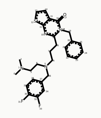 CN(C)CCN(CCCc1nc2sccc2c(=O)n1Cc1ccccc1)Cc1ccc(F)c(F)c1